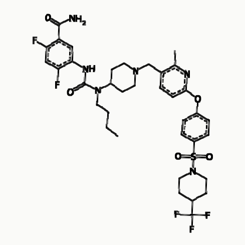 CCCCN(C(=O)Nc1cc(C(N)=O)c(F)cc1F)C1CCN(Cc2ccc(Oc3ccc(S(=O)(=O)N4CCC(C(F)(F)F)CC4)cc3)nc2C)CC1